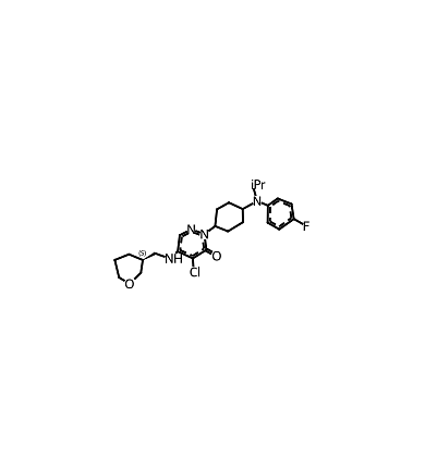 CC(C)N(c1ccc(F)cc1)C1CCC(n2ncc(NC[C@@H]3CCCOC3)c(Cl)c2=O)CC1